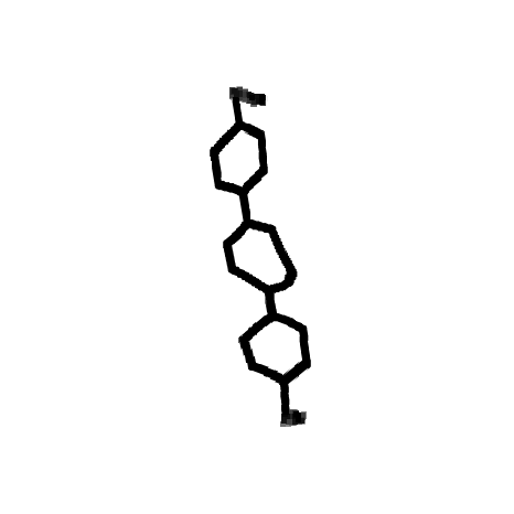 CCCCCCCC1CCC(C2CCC(C3CCC(CCCC)CC3)CC2)CC1